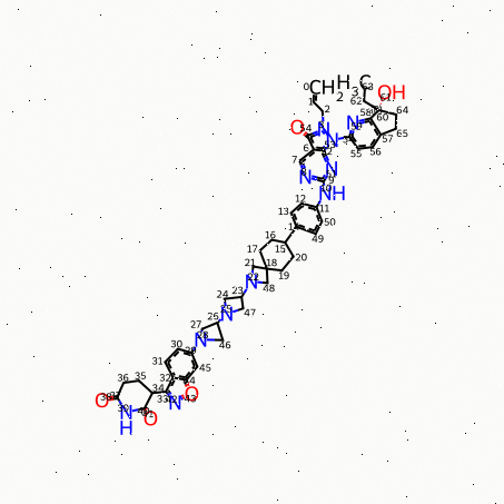 C=CCn1c(=O)c2cnc(Nc3ccc(C4CCC5(CC4)CN(C4CN(C6CN(c7ccc8c(C9CCC(=O)NC9=O)noc8c7)C6)C4)C5)cc3)nc2n1-c1ccc2c(n1)[C@@](O)(CC)CC2